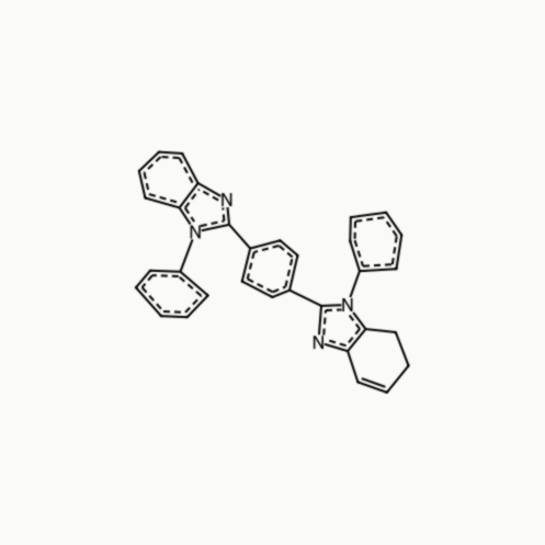 C1=Cc2nc(-c3ccc(-c4nc5ccccc5n4-c4ccccc4)cc3)n(-c3ccccc3)c2CC1